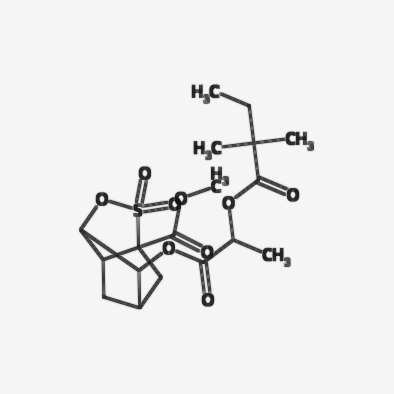 CCC(C)(C)C(=O)OC(C)C(=O)OC1C2CC3C1OS(=O)(=O)C3(C(=O)OC)C2